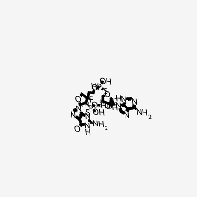 Nc1nc2c(ncn2[C@@H]2OC[C@](F)(CCO[PH](O)=S)[C@H]2P(O)(=S)OC[C@@]23CO[C@@H]([C@H](n4cnc5c(N)ncnc54)O2)[C@@H]3O)c(=O)[nH]1